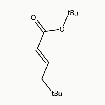 CC(C)(C)CC=CC(=O)OC(C)(C)C